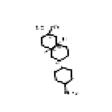 CCCCCCC1CCC([C@H]2CC[C@@H]3C[C@](C#N)(CCC)CC[C@@H]3C2)CC1